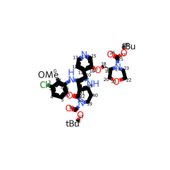 COc1c(Cl)cccc1Nc1c(-c2ccncc2OC[C@H]2COCCN2C(=O)OC(C)(C)C)[nH]c2c1C(=O)N(C(=O)OC(C)(C)C)CC2